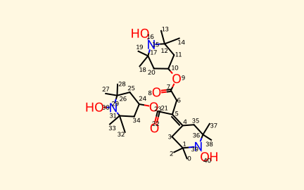 CC1(C)CC(=C(CC(=O)OC2CC(C)(C)N(O)C(C)(C)C2)C(=O)OC2CC(C)(C)N(O)C(C)(C)C2)CC(C)(C)N1O